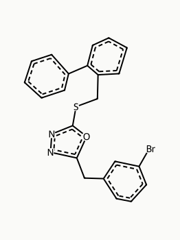 Brc1cccc(Cc2nnc(SCc3ccccc3-c3ccccc3)o2)c1